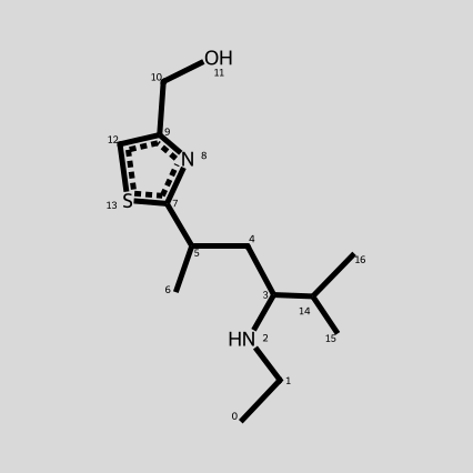 CCNC(CC(C)c1nc(CO)cs1)C(C)C